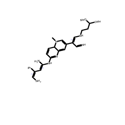 COC(CCN/C=C(\C=N)C1=CN(C)C2C=CC(N/C(N)=C/C(=C\N)C(C)C)=NC2=C1)OC